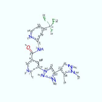 Cc1ncc(C(=O)Nc2cc(C(F)(F)F)ccn2)cc1-n1cc(-c2cnn(C)c2C)nn1